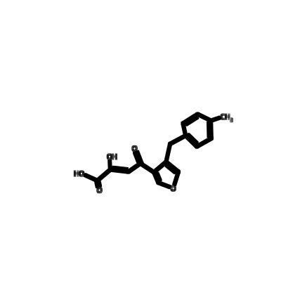 Cc1ccc(Cc2cocc2C(=O)/C=C(\O)C(=O)O)cc1